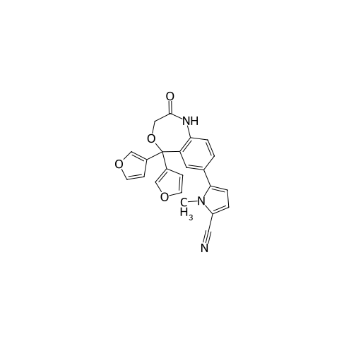 Cn1c(C#N)ccc1-c1ccc2c(c1)C(c1ccoc1)(c1ccoc1)OCC(=O)N2